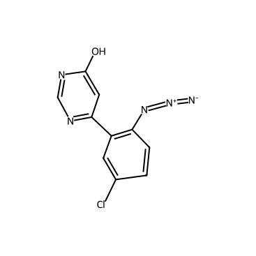 [N-]=[N+]=Nc1ccc(Cl)cc1-c1cc(O)ncn1